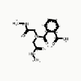 CNC(=O)CN(CC(=O)NC)C(=O)c1ccccc1C(=O)O